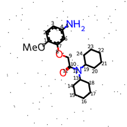 COc1ccc(N)cc1OCC(=O)N(C1CCCCC1)C1CCCCC1